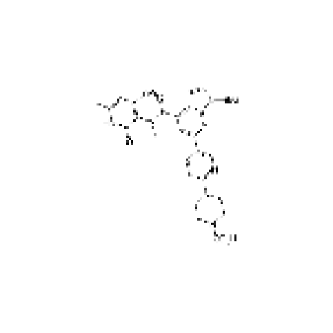 CCCc1cc(C)[nH]c(=O)c1N(C)C(=O)c1cc(-c2ccc(N3CCN(C(=O)O)CC3)nc2)cc2c1ccn2C(C)CC